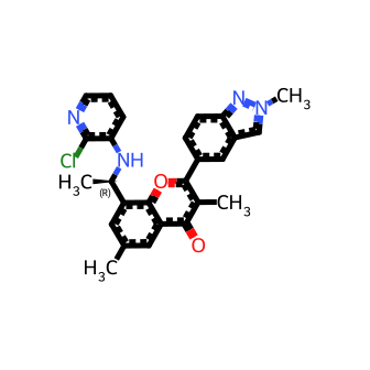 Cc1cc([C@@H](C)Nc2cccnc2Cl)c2oc(-c3ccc4nn(C)cc4c3)c(C)c(=O)c2c1